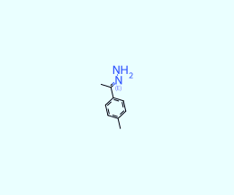 C/C(=N\N)c1ccc(C)cc1